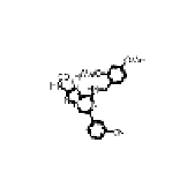 COc1ccc(CNc2nc(-c3cccc(C#N)c3)cn3nc(NC(=O)O)nc23)c(OC)c1